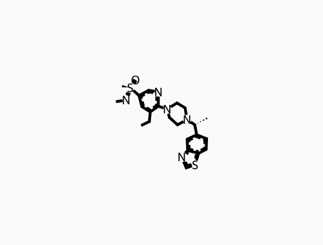 CCc1cc([S@@](C)(=O)=NC)cnc1N1CCN([C@H](C)c2ccc3scnc3c2)CC1